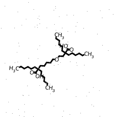 CCCCCCC(CCCCCC)(CCCCCOCCC(CCCCCC)(CCCCCC)C(=O)O)C(=O)O